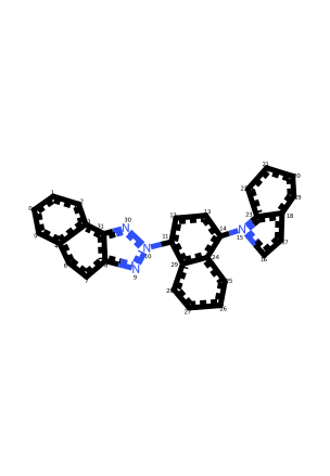 c1ccc2c(c1)ccc1nn(-c3ccc(-n4ccc5ccccc54)c4ccccc34)nc12